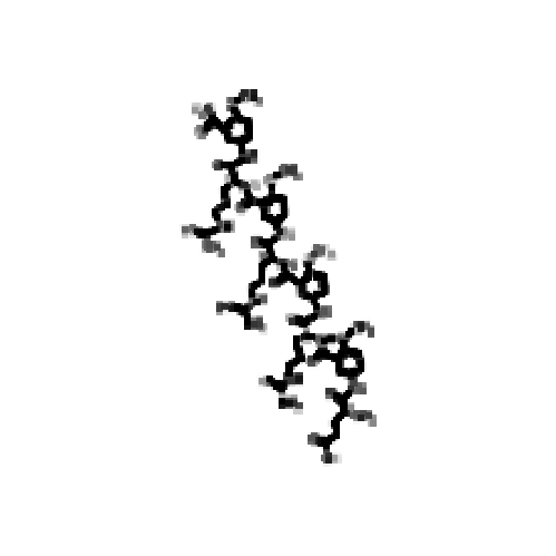 COc1ccc(NC(=O)[C@H](CCCNC(=N)N)NC(=O)c2cc(NC(=O)[C@H](CCCNC(=N)N)NC(=O)c3cc(NC(=O)[C@H](CCCNC(=N)N)NC(=O)c4cc(NC(=O)[C@@H](N)CCC(=O)O)ccc4OC)ccc3OC)ccc2OC)cc1C(N)=O